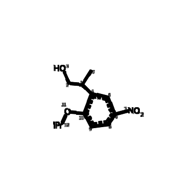 C[C](CO)c1cc([N+](=O)[O-])ccc1OC(C)C